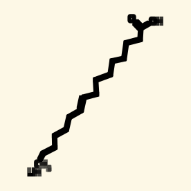 CCCCCCC=CCCCCCCCC(=O)O.[LiH]